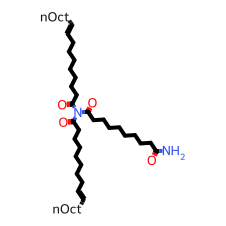 CCCCCCCCC=CCCCCCCCC(=O)N(C(=O)CCCCCCCC=CCCCCCCCC)C(=O)CCCCCCCCC(N)=O